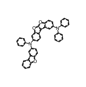 c1ccc(N(c2ccc3c(c2)oc2oc4ccc(N(c5ccccc5)c5ccccc5)cc4c23)c2ccc3oc4ccccc4c3c2)cc1